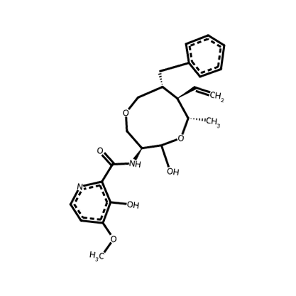 C=C[C@@H]1[C@@H](Cc2ccccc2)COC[C@H](NC(=O)c2nccc(OC)c2O)C(O)O[C@H]1C